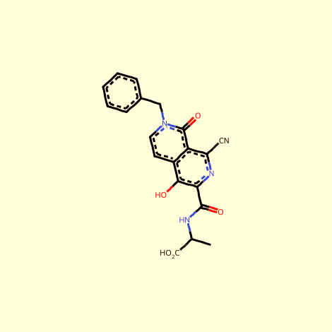 CC(NC(=O)c1nc(C#N)c2c(=O)n(Cc3ccccc3)ccc2c1O)C(=O)O